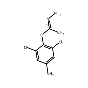 C/C(=N\N)Oc1c(Cl)cc(N)cc1Cl